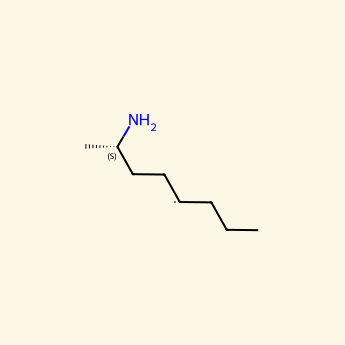 CCC[CH]CC[C@H](C)N